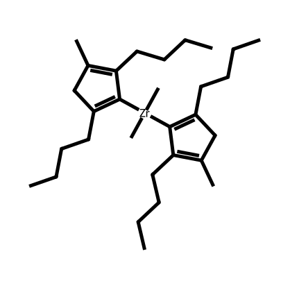 CCCCC1=[C]([Zr]([CH3])([CH3])[C]2=C(CCCC)CC(C)=C2CCCC)C(CCCC)=C(C)C1